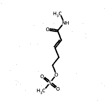 CNC(=O)C=CCCOS(C)(=O)=O